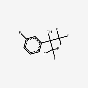 OC(c1cccc(F)c1)(C(F)(F)F)C(F)(F)F